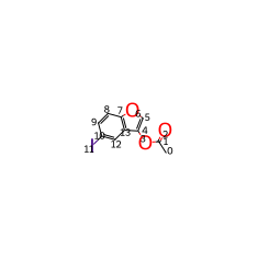 CC(=O)Oc1coc2ccc(I)cc12